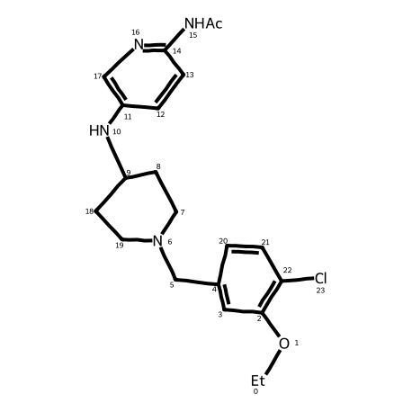 CCOc1cc(CN2CCC(Nc3ccc(NC(C)=O)nc3)CC2)ccc1Cl